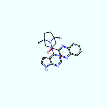 O=C(c1cnc2ccccc2n1)N1[C@@H]2CC[C@H]1CN(c1ncnc3[nH]ccc13)C2